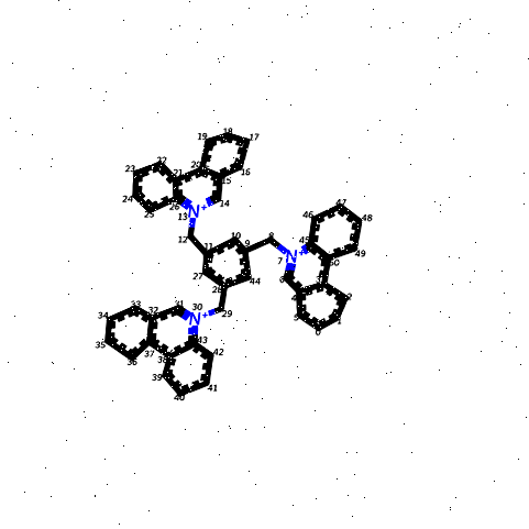 c1ccc2c(c1)c[n+](Cc1cc(C[n+]3cc4ccccc4c4ccccc43)cc(C[n+]3cc4ccccc4c4ccccc43)c1)c1ccccc21